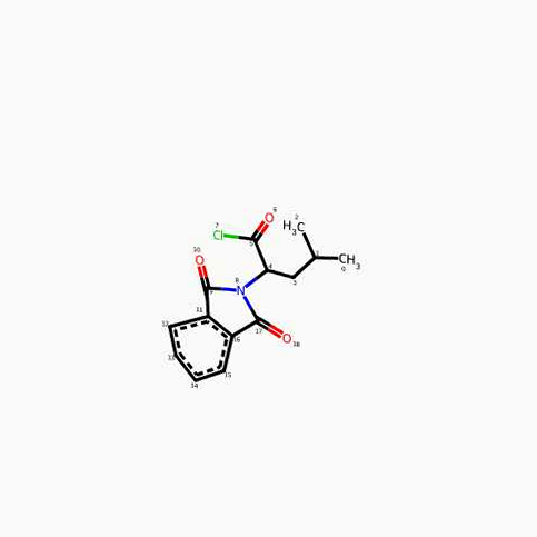 CC(C)CC(C(=O)Cl)N1C(=O)c2ccccc2C1=O